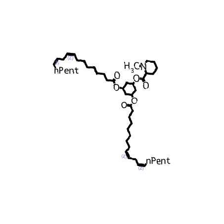 CCCCC/C=C\C/C=C\CCCCCCCC(=O)OC1CC(OC(=O)CCCCCCC/C=C\C/C=C\CCCCC)CC(OC(=O)C2CCCCN2C)C1